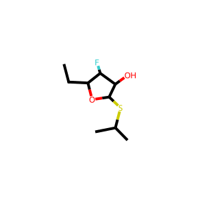 CCC1OC(SC(C)C)C(O)C1F